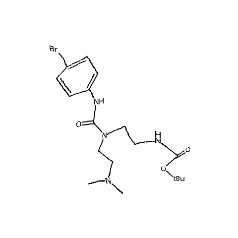 CN(C)CCN(CCNC(=O)OC(C)(C)C)C(=O)Nc1ccc(Br)cc1